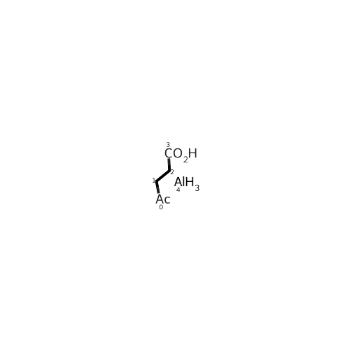 CC(=O)CCC(=O)O.[AlH3]